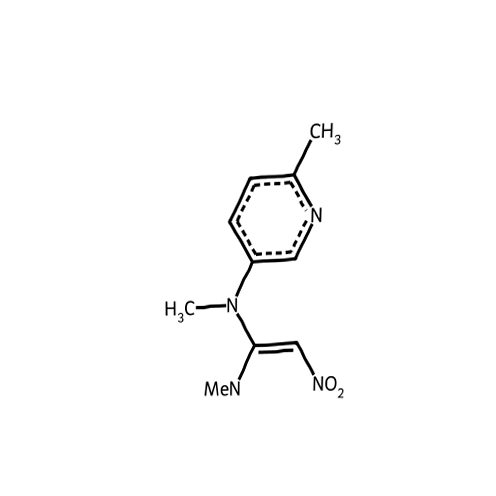 CNC(=C[N+](=O)[O-])N(C)c1ccc(C)nc1